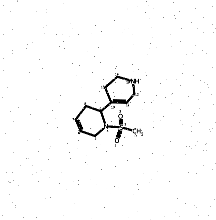 CS(=O)(=O)N1CC=CCC1C1=CCNCC1